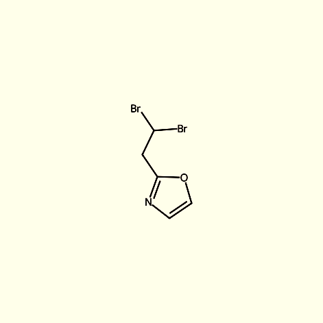 BrC(Br)Cc1ncco1